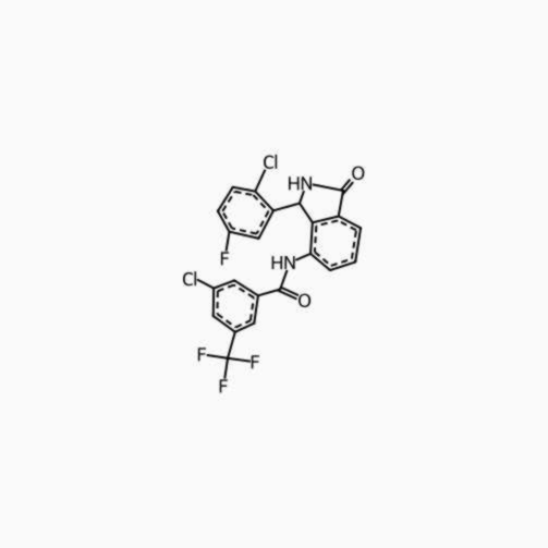 O=C(Nc1cccc2c1C(c1cc(F)ccc1Cl)NC2=O)c1cc(Cl)cc(C(F)(F)F)c1